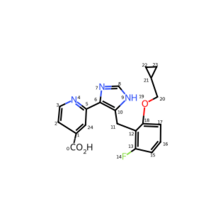 O=C(O)c1ccnc(-c2nc[nH]c2Cc2c(F)cccc2OCC2CC2)c1